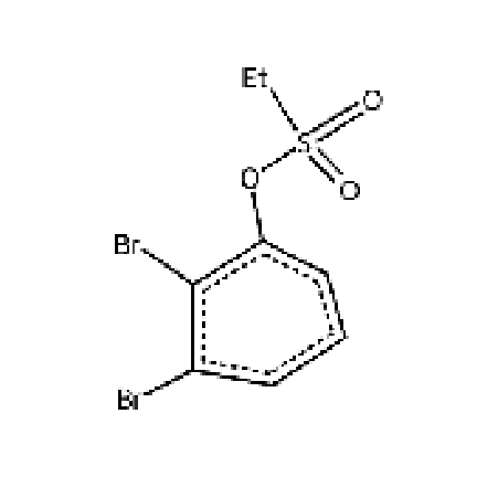 CCS(=O)(=O)Oc1cccc(Br)c1Br